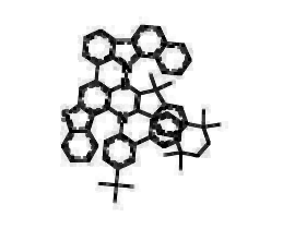 CC(C)(C)c1ccc(N2C3=C(B4c5c(cc6sc7ccccc7c6c52)-c2cccc5c6ccc7ccccc7c6n4c25)C(C)(C)c2cc4c(cc23)C(C)(C)CCC4(C)C)c(-c2ccccc2)c1